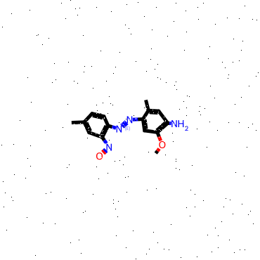 COc1cc(/N=N/c2ccc(C)cc2N=O)c(C)cc1N